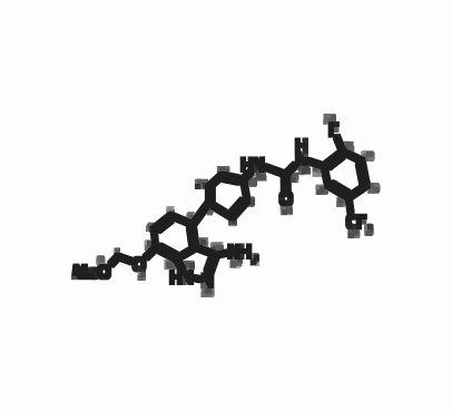 COCOc1ccc(-c2ccc(NC(=O)Nc3cc(C(F)(F)F)ccc3F)cc2)c2c(N)n[nH]c12